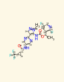 C[C@@H](OC(=O)Nc1c(-c2ncc(NC(=O)[C@@H]3CC3C(F)(F)F)cn2)cnn1C)c1cc(F)cnc1F